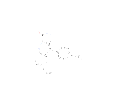 COc1ccc2nc3c(c(-c4ccc(C(F)(F)F)cc4)c2c1)CNC3=O